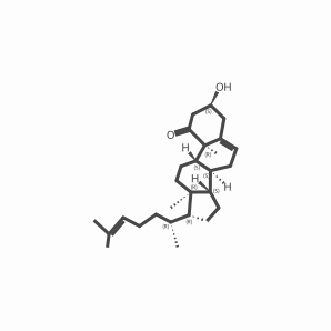 CC(C)=CCC[C@@H](C)[C@H]1CC[C@H]2[C@@H]3CC=C4C[C@H](O)CC(=O)[C@]4(C)[C@H]3CC[C@]12C